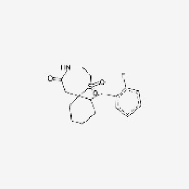 O=C1CC2(CCCCC2Cc2ccccc2F)S(=O)(=O)CCN1